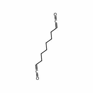 O=C=CCCCCCCC=C=O